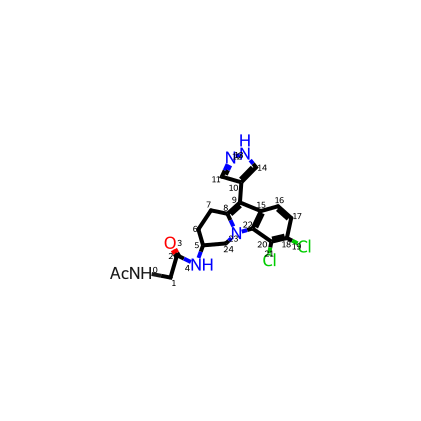 CC(=O)NCC(=O)NC1CCc2c(-c3cn[nH]c3)c3ccc(Cl)c(Cl)c3n2C1